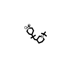 CC(C)(CC1CCCN(C(C)(C)C)C1)C1CCS(=O)(=O)CC1